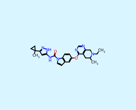 CCN1Cc2ncnc(Oc3ccc4c(ccn4C(=O)Nc4cc(C5(C)CC5)n[nH]4)c3)c2CC1C